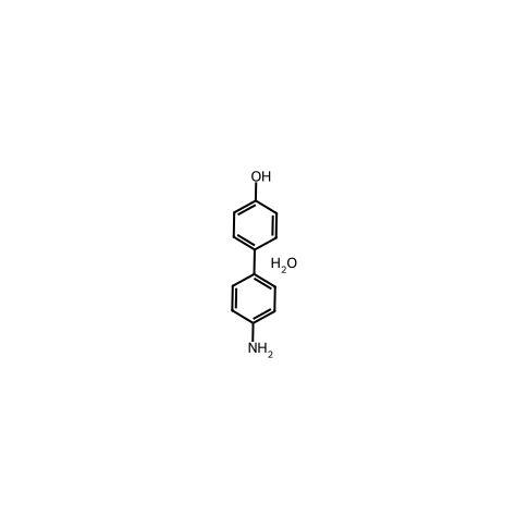 Nc1ccc(-c2ccc(O)cc2)cc1.O